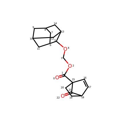 O=C(OCOC1C2CC3CC(C2)CC1C3)C12C=CC(CC1)C2=O